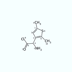 Cc1cc(C(N)C(=O)Cl)c(C)s1